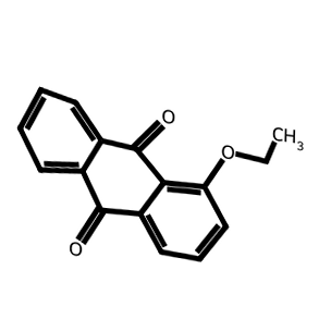 CCOc1cccc2c1C(=O)c1ccccc1C2=O